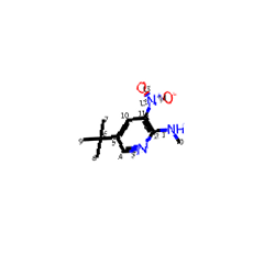 CNc1ncc(C(C)(C)C)cc1[N+](=O)[O-]